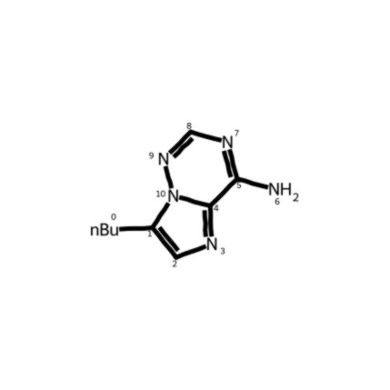 CCCCc1cnc2c(N)ncnn12